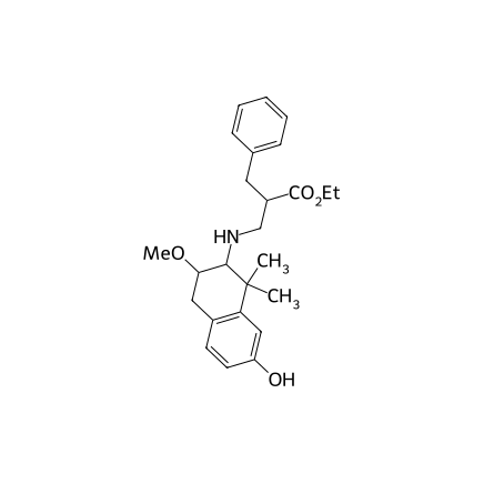 CCOC(=O)C(CNC1C(OC)Cc2ccc(O)cc2C1(C)C)Cc1ccccc1